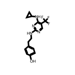 Oc1ccc(CCNc2ncc(C(F)(F)F)c(NC3CC3)n2)cc1